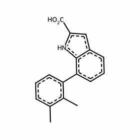 Cc1cccc(-c2cccc3cc(C(=O)O)[nH]c23)c1C